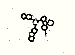 N#Cc1ccc2c(c1)C1(CCCCC1)c1cccc(-c3nc(-c4ccc5ccccc5c4)nc(-c4ccc5c(c4)sc4ccccc45)n3)c1-2